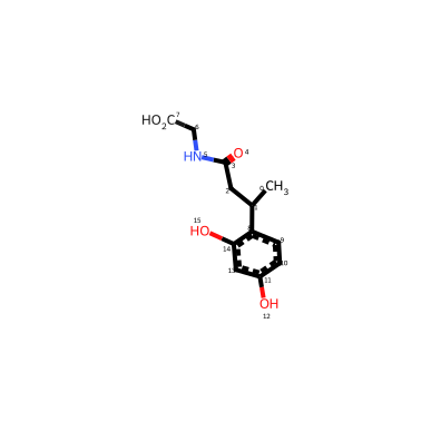 CC(CC(=O)NCC(=O)O)c1ccc(O)cc1O